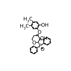 Cc1cc(O)c(O[C@@H]2CCOC(P(=O)(c3ccccc3)c3ccccc3)[C@H]2O)cc1C